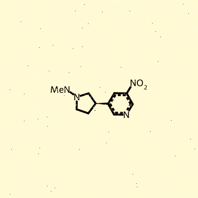 CNN1CC[C@H](c2cncc([N+](=O)[O-])c2)C1